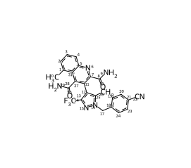 Cc1cccc2nc(C(N)=O)c(-c3c(C(F)(F)F)nn(Cc4ccc(C#N)cc4)c3C)c(C(N)=O)c12